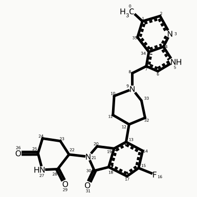 Cc1cnc2[nH]cc(CN3CCC(c4cc(F)cc5c4CN(C4CCC(=O)NC4=O)C5=O)CC3)c2c1